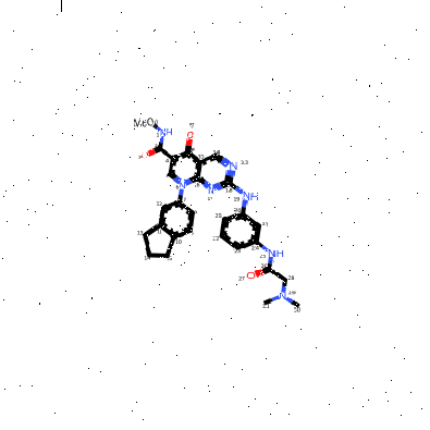 CONC(=O)c1cn(-c2ccc3c(c2)CCC3)c2nc(Nc3cccc(NC(=O)CN(C)C)c3)ncc2c1=O